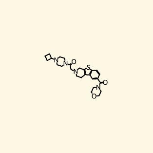 O=C(CN1CCc2c(sc3ccc(C(=O)N4CCOCC4)cc23)C1)N1CCN(C2CCC2)CC1